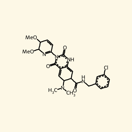 COC1C=CC(n2c(=O)[nH]c3c(c2=O)=CC(N(C)C)C(C(=O)NCc2cccc(Cl)c2)C=3)=NC1OC